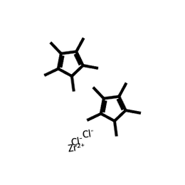 CC1=C(C)C(C)C(C)=C1C.CC1=C(C)C(C)C(C)=C1C.[Cl-].[Cl-].[Zr+2]